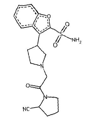 N#CC1CCCN1C(=O)CN1CCC(c2c(S(N)(=O)=O)oc3ccccc23)C1